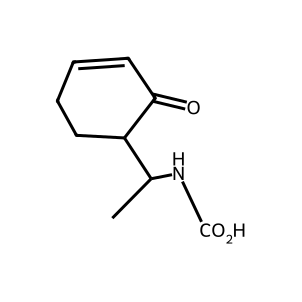 CC(NC(=O)O)C1CCC=CC1=O